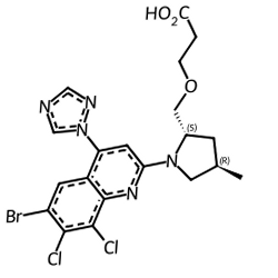 C[C@@H]1C[C@@H](COCCC(=O)O)N(c2cc(-n3cncn3)c3cc(Br)c(Cl)c(Cl)c3n2)C1